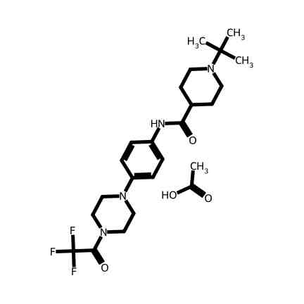 CC(=O)O.CC(C)(C)N1CCC(C(=O)Nc2ccc(N3CCN(C(=O)C(F)(F)F)CC3)cc2)CC1